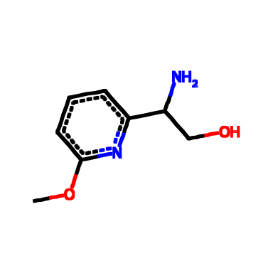 COc1cccc(C(N)CO)n1